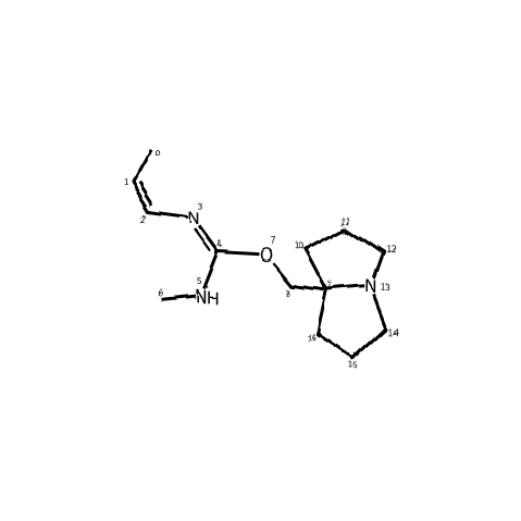 C/C=C\N=C(/NC)OCC12CCCN1CCC2